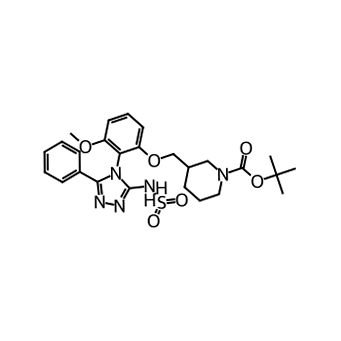 COc1cccc(OCC2CCCN(C(=O)OC(C)(C)C)C2)c1-n1c(N[SH](=O)=O)nnc1-c1ccccc1